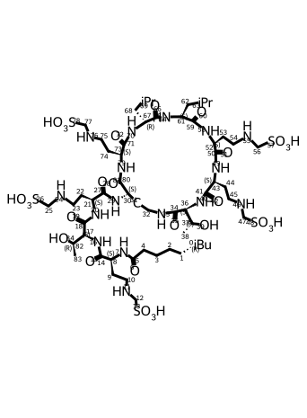 CC[C@@H](C)CCCCC(=O)N[C@@H](CCNCS(=O)(=O)O)C(=O)N[C@H](C(=O)N[C@@H](CCNCS(=O)(=O)O)C(=O)N[C@H]1CCNC(=O)[C@H]([C@@H](C)O)NC(=O)[C@H](CCNCS(=O)(=O)O)NC(=O)[C@H](CCNCS(=O)(=O)O)NC(=O)[C@H](CC(C)C)NC(=O)[C@@H](CC(C)C)NC(=O)[C@H](CCNCS(=O)(=O)O)NC1=O)[C@@H](C)O